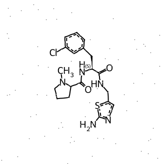 CN1CCCC1C(=O)N[C@@H](Cc1cccc(Cl)c1)C(=O)NCc1cnc(N)s1